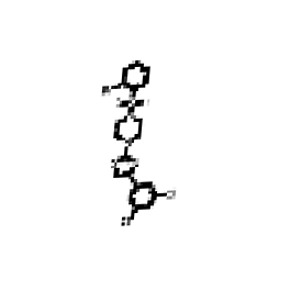 O=S(=O)(c1ccccc1Br)N1CCN(c2nc(-c3cc(Cl)cc(Cl)c3)cs2)CC1